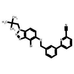 CC(C)(C)Cn1nnc2c(Br)c(OCc3cccc(-c4cccc(C#N)n4)c3)ccc21